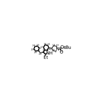 [CH2]Cc1[nH]c2c(C3CCN(C(=O)OC(C)(C)C)CC3)cccc2c1Cc1ccccc1